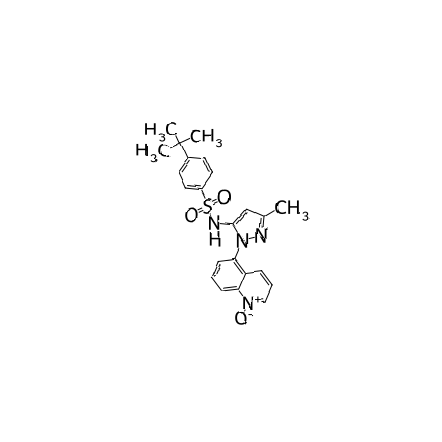 Cc1cc(NS(=O)(=O)c2ccc(C(C)(C)C)cc2)n(-c2cccc3c2ccc[n+]3[O-])n1